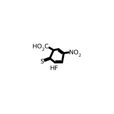 F.O=C(O)C1C=C([N+](=O)[O-])C=CC1=S